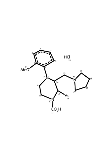 COc1ccccc1N1CCN(C(=O)O)C(C(C)=O)C1CN1CCCC1.Cl